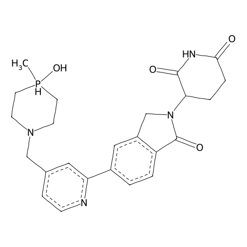 C[PH]1(O)CCN(Cc2ccnc(-c3ccc4c(c3)CN(C3CCC(=O)NC3=O)C4=O)c2)CC1